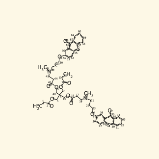 C=CC(=O)OCC(COC(=O)C=C)(COC(=O)CCN(C)CCCOc1ccc2sc3ccccc3c(=O)c2c1)COC(=O)CCN(C)CCCOc1ccc2sc3ccccc3c(=O)c2c1